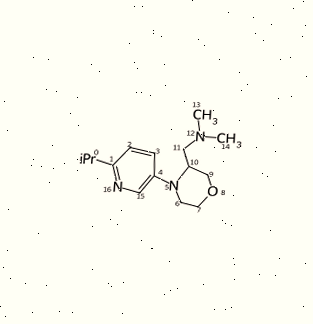 CC(C)c1ccc(N2CCOCC2CN(C)C)cn1